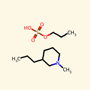 CCCC1CCCN(C)C1.CCCOS(=O)(=O)O